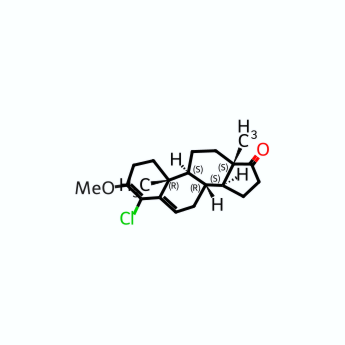 COC1=C(Cl)C2=CC[C@@H]3[C@H](CC[C@]4(C)C(=O)CC[C@@H]34)[C@@]2(C)CC1